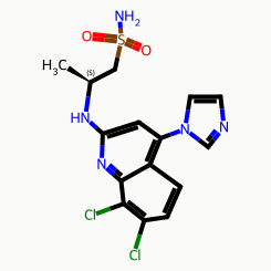 C[C@@H](CS(N)(=O)=O)Nc1cc(-n2ccnc2)c2ccc(Cl)c(Cl)c2n1